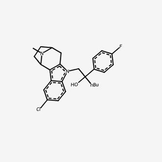 CCCCC(O)(Cn1c2c(c3cc(Cl)ccc31)C1CCC(C2)N1C)c1ccc(F)cc1